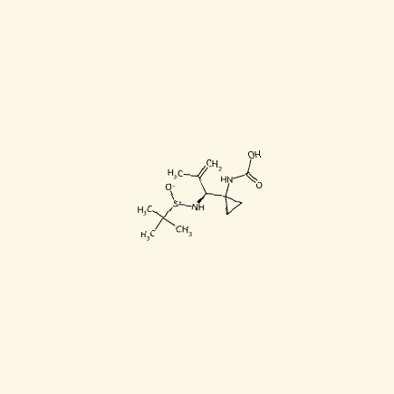 C=C(C)[C@H](N[S+]([O-])C(C)(C)C)C1(NC(=O)O)CC1